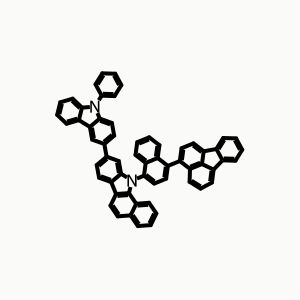 c1ccc(-n2c3ccccc3c3cc(-c4ccc5c6ccc7ccccc7c6n(-c6ccc(-c7ccc8c9c(cccc79)-c7ccccc7-8)c7ccccc67)c5c4)ccc32)cc1